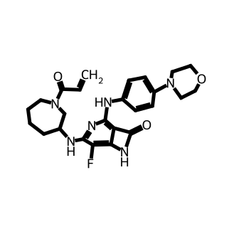 C=CC(=O)N1CCCCC(Nc2nc(Nc3ccc(N4CCOCC4)cc3)c3c(c2F)NC3=O)C1